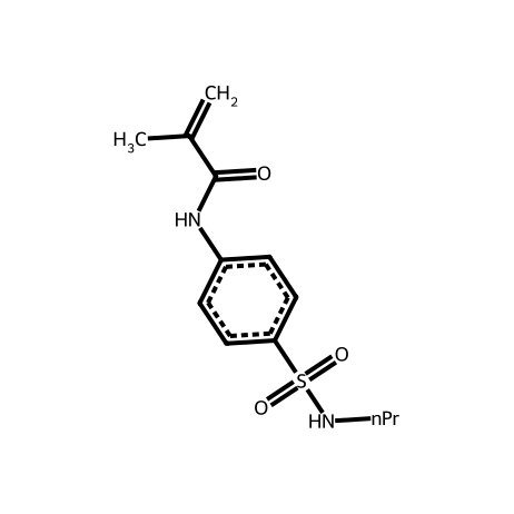 C=C(C)C(=O)Nc1ccc(S(=O)(=O)NCCC)cc1